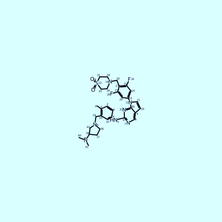 Cc1ccc(Nc2ncc3ccn(-c4cc(F)c(CN5CCS(=O)(=O)CC5)c(F)c4)c3n2)cc1CN1CCC(N(C)C)C1